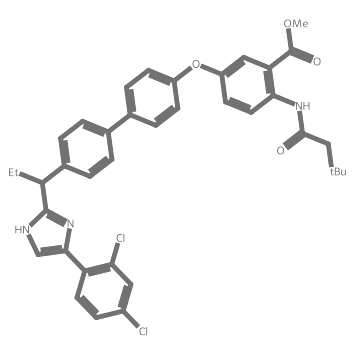 CCC(c1ccc(-c2ccc(Oc3ccc(NC(=O)CC(C)(C)C)c(C(=O)OC)c3)cc2)cc1)c1nc(-c2ccc(Cl)cc2Cl)c[nH]1